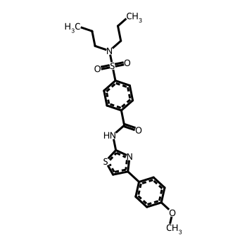 CCCN(CCC)S(=O)(=O)c1ccc(C(=O)Nc2nc(-c3ccc(OC)cc3)cs2)cc1